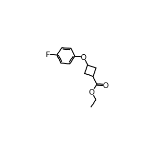 CCOC(=O)C1CC(Oc2ccc(F)cc2)C1